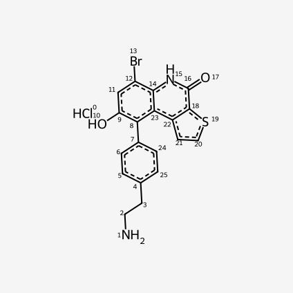 Cl.NCCc1ccc(-c2c(O)cc(Br)c3[nH]c(=O)c4sccc4c23)cc1